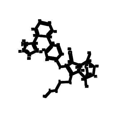 CCCCCc1c(Cc2ccc(-c3ccccc3-c3nnn[nH]3)cc2)c(=O)n2n1C1(C)CCC2(C)CC1